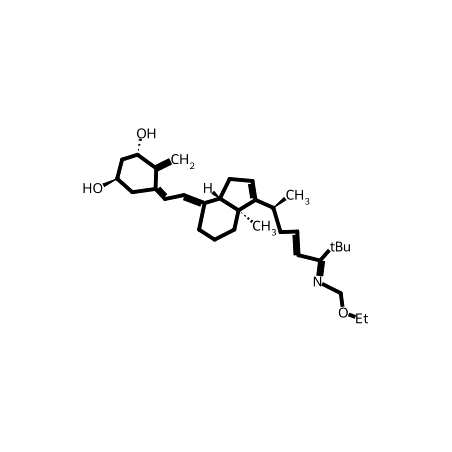 C=C1/C(=C\C=C2/CCC[C@]3(C)C([C@@H](C)C/C=C/C(=N/COCC)C(C)(C)C)=CC[C@@H]23)C[C@@H](O)C[C@@H]1O